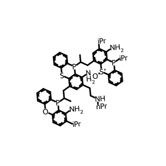 CCCNCCc1cc(CC(C)P2c3ccccc3Oc3ccc(C(C)C)c(N)c32)c2c(c1N)P(C(C)Cc1cc(C(C)C)c(N)c3c1[S+]([O-])c1ccccc1P3C(C)C)c1ccccc1S2